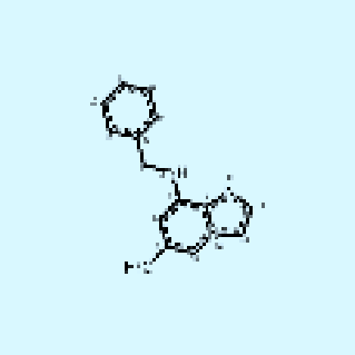 Cc1cc(NCc2ccccc2)c2nccn2c1